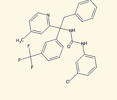 Cc1ccnc(C(Cc2ccccc2)(NC(=O)Nc2cccc(Cl)c2)c2cccc(C(F)(F)F)c2)c1